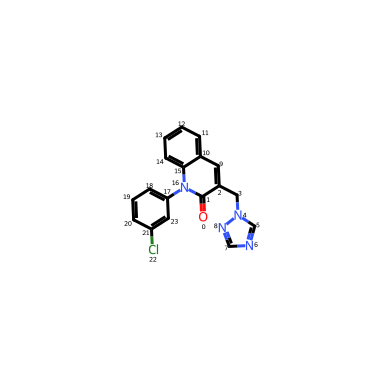 O=c1c(Cn2cncn2)cc2ccccc2n1-c1cccc(Cl)c1